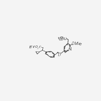 CCOC(=O)CC(c1cccc(COc2cnc(OC)c(CC(C)(C)C)c2)c1)C1CC1